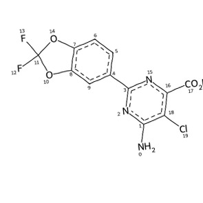 Nc1nc(-c2ccc3c(c2)OC(F)(F)O3)nc(C(=O)O)c1Cl